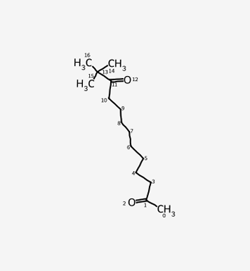 CC(=O)CCCCCCCCC(=O)C(C)(C)C